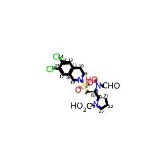 O=CN(O)[C@H](CS(=O)(=O)N1CCc2cc(Cl)c(Cl)cc2C1)[C@@H]1CCCN1C(=O)O